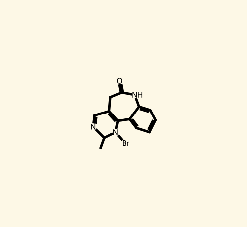 CC1N=CC2=C(c3ccccc3NC(=O)C2)N1Br